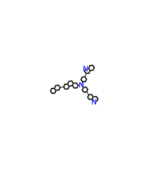 c1ccc2cc(-c3ccc4c(ccc5cc(N(c6ccc(-c7ccc8ncccc8c7)cc6)c6ccc(-c7cnc8ccccc8c7)cc6)ccc54)c3)ccc2c1